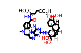 CN(Cc1cnc2nc(N)nc(N)c2n1)c1ccc(C(=O)N[C@@H](CCC(=O)O)C(=O)O)cc1.C[C@@]1(CO)[C@H](O)CC[C@@]2(C)[C@H]1CC[C@H]1C[C@@H]3C[C@@]12CC[C@]3(O)CO